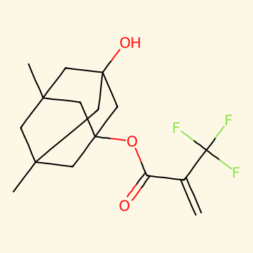 C=C(C(=O)OC12CC3(C)CC(C)(CC(O)(C3)C1)C2)C(F)(F)F